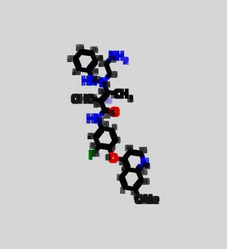 COc1ccc2c(Oc3ccc(NC(=O)/C(C=O)=C(\C)N(CCN)Nc4ccccc4)cc3F)ccnc2c1